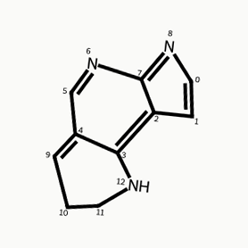 C1=Cc2c3c(cnc2=N1)=CCCN3